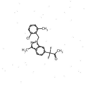 CC(=O)C(F)(F)c1ccc2c(C)nn(Cc3c(C)cccc3Cl)c2c1